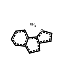 B.c1ccc2c(c1)ccc1ccoc12